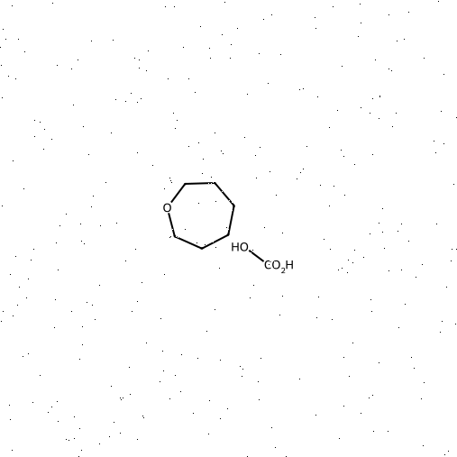 C1CCCOCC1.O=C(O)O